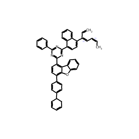 C=C/C(=C\C=C/C)c1ccc(-c2nc(-c3ccccc3)nc(-c3ccc(-c4ccc(C5C=CC=CC5)cc4)c4oc5ccccc5c34)n2)c2ccccc12